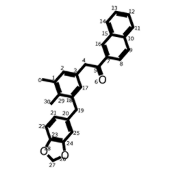 Cc1cc(CC(=O)c2ccc3ccccc3c2)cc(Cc2ccc3c(c2)OCO3)c1C